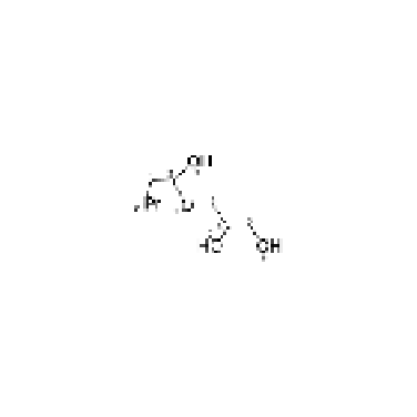 CC(C)CC(O)OCC(O)CO